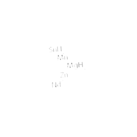 [MgH2].[Mn].[Nd].[SnH2].[Zn]